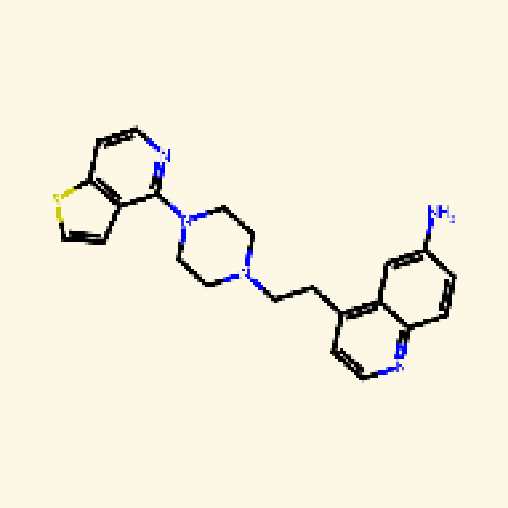 Nc1ccc2nccc(CCN3CCN(c4nccc5sccc45)CC3)c2c1